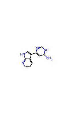 NC1C=C(c2c[nH]c3ncccc23)N=CN1